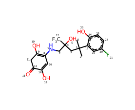 CC(C)(CC(O)(CNC1=C(O)CC(=O)C(O)=C1)C(F)(F)F)c1cc(F)ccc1O